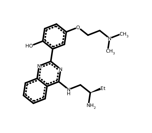 CC[C@@H](N)CNc1nc(-c2cc(OCCN(C)C)ccc2O)nc2ccccc12